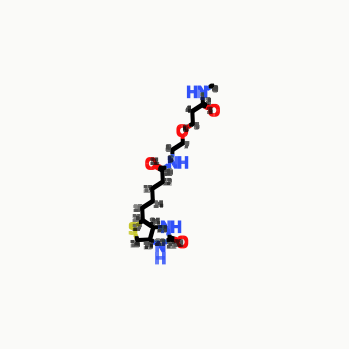 CNC(=O)CCOCCNC(=O)CCCCC1SCC2NC(=O)NC21